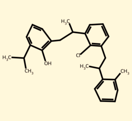 Cc1ccccc1C(C)Cc1cccc(C(C)Cc2cccc(C(C)C)c2O)c1Cl